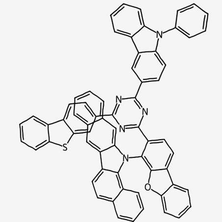 c1ccc(-n2c3ccccc3c3cc(-c4nc(-c5ccc6c(c5)sc5ccccc56)nc(-c5ccc6c(oc7ccccc76)c5-n5c6cc7ccccc7cc6c6ccc7ccccc7c65)n4)ccc32)cc1